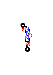 COc1ccccc1CN1CCN(C(=O)CN2CCC(OCc3ccccc3)CC2)CC1